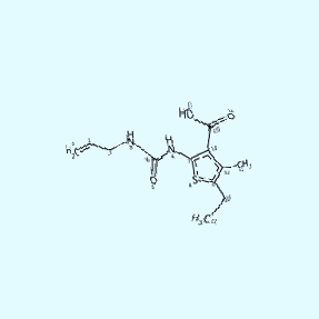 C=CCNC(=O)Nc1sc(CC)c(C)c1C(=O)O